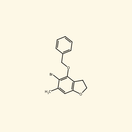 Cc1cc2c(c(OCc3ccccc3)c1Br)CCO2